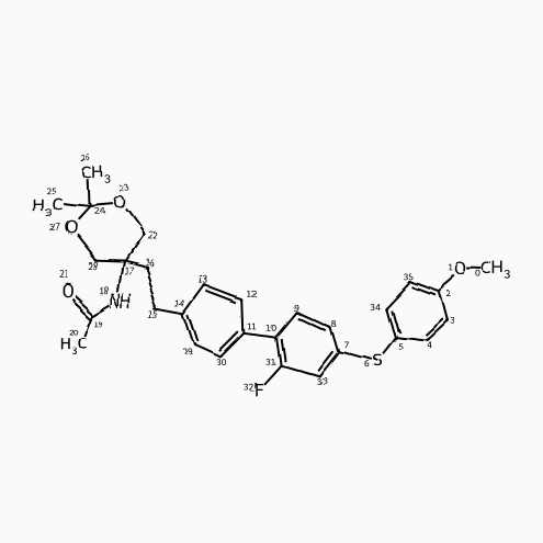 COc1ccc(Sc2ccc(-c3ccc(CCC4(NC(C)=O)COC(C)(C)OC4)cc3)c(F)c2)cc1